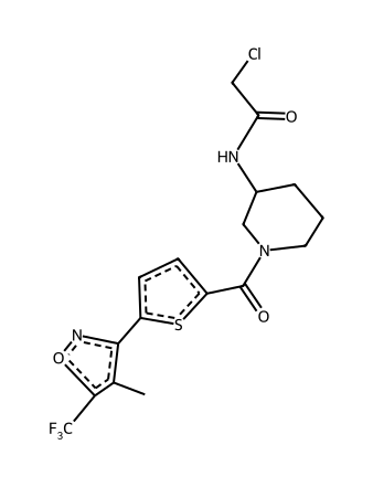 Cc1c(-c2ccc(C(=O)N3CCCC(NC(=O)CCl)C3)s2)noc1C(F)(F)F